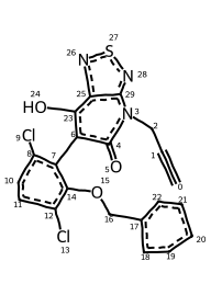 C#CCn1c(=O)c(-c2c(Cl)ccc(Cl)c2OCc2ccccc2)c(O)c2nsnc21